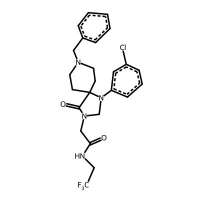 O=C(CN1CN(c2cccc(Cl)c2)C2(CCN(Cc3ccccc3)CC2)C1=O)NCC(F)(F)F